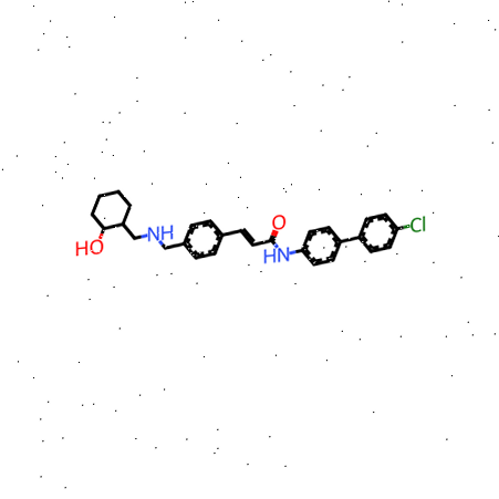 O=C(C=Cc1ccc(CNCC2CCCCC2O)cc1)Nc1ccc(-c2ccc(Cl)cc2)cc1